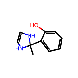 CC1(c2ccccc2O)NC=CN1